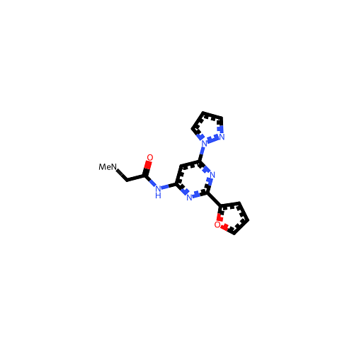 CNCC(=O)Nc1cc(-n2cccn2)nc(-c2ccco2)n1